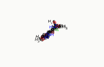 COC[C@H]1C[C@@H](c2nc(Cl)c(-c3ccc4c(c3)COc3cc5c(ccc6nc([C@@H]7CC[C@H](C)N7C(=O)[C@@H](NC(=O)OC)C(C)C)[nH]c65)cc3-4)[nH]2)N(C(=O)OC(C)(C)C)C1